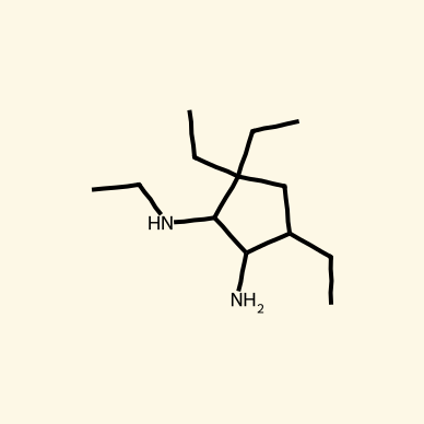 CCNC1C(N)C(CC)CC1(CC)CC